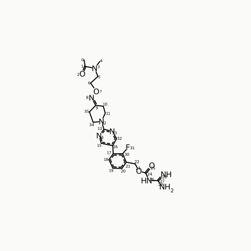 CC(=O)N(C)CCON=C1CCN(c2ncc(-c3cccc(COC(=O)NC(=N)N)c3F)cn2)CC1